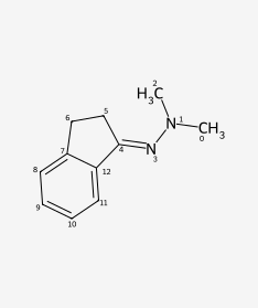 CN(C)N=C1CCc2ccccc21